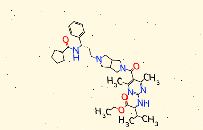 CCOC(=O)[C@@H](Nc1nc(C)c(C(=O)N2CC3CN(CC[C@H](NC(=O)C4CCCC4)c4ccccc4)CC3C2)c(C)n1)C(C)C